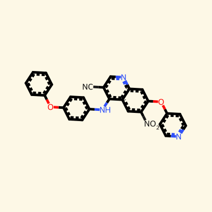 N#Cc1cnc2cc(Oc3ccncc3)c([N+](=O)[O-])cc2c1Nc1ccc(Oc2ccccc2)cc1